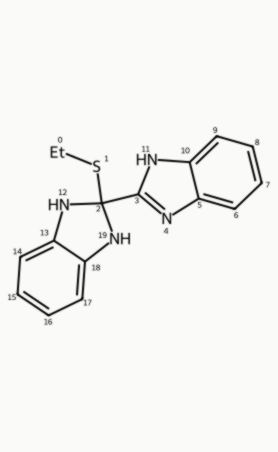 CCSC1(c2nc3ccccc3[nH]2)Nc2ccccc2N1